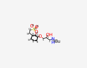 CCC(C)NCC(O)COc1cccc2c1OS(=O)(=O)CC2